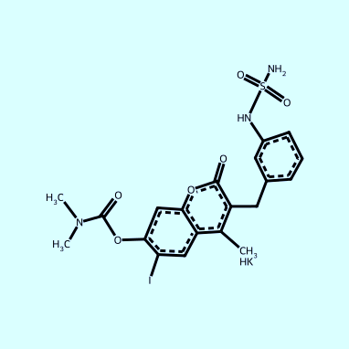 Cc1c(Cc2cccc(NS(N)(=O)=O)c2)c(=O)oc2cc(OC(=O)N(C)C)c(I)cc12.[KH]